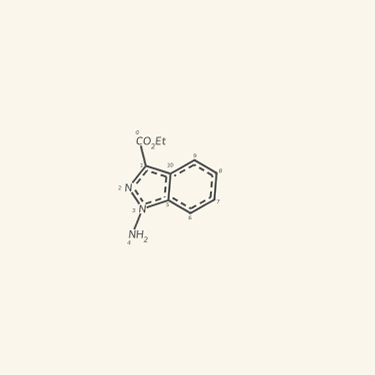 CCOC(=O)c1nn(N)c2ccccc12